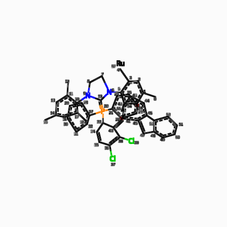 Cc1cc(C)c(N2CCN(c3c(C)cc(C)cc3C)C2=P(c2ccccc2)(c2ccccc2)C2C=CC(Cl)=C(Cl)C2=c2cccc3c2=Cc2ccccc2-3)c(C)c1.[Ru]